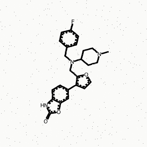 CN1CCC(N(Cc2ccc(F)cc2)Cc2occc2-c2ccc3[nH]c(=O)oc3c2)CC1